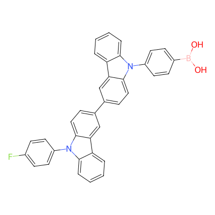 OB(O)c1ccc(-n2c3ccccc3c3cc(-c4ccc5c(c4)c4ccccc4n5-c4ccc(F)cc4)ccc32)cc1